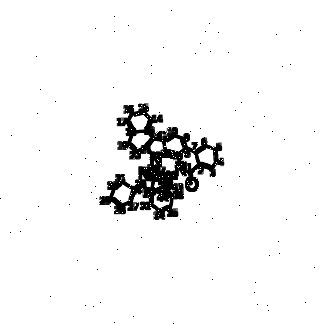 O=c1c2ccccc2c2ccc3c4c5ccccc5ccc4n(-c4nc(-c5ccccc5)c5ccccc5n4)c3c2n1-c1ccccc1